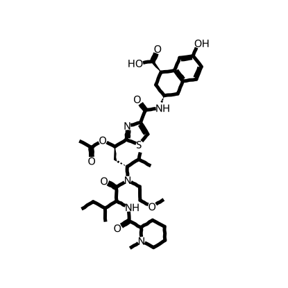 CCC(C)C(NC(=O)C1CCCCN1C)C(=O)N(CCOC)[C@H](C[C@@H](OC(C)=O)c1nc(C(=O)N[C@H]2Cc3ccc(O)cc3[C@H](C(=O)O)C2)cs1)C(C)C